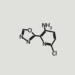 Nc1ccc(Cl)nc1-c1nnco1